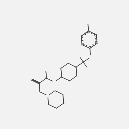 C=C(CN1CCCCC1)C(O)OC1CCC(C(F)(F)Oc2ccc(CCCCC)cc2)CC1